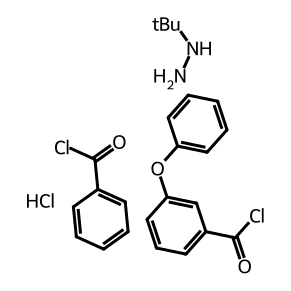 CC(C)(C)NN.Cl.O=C(Cl)c1cccc(Oc2ccccc2)c1.O=C(Cl)c1ccccc1